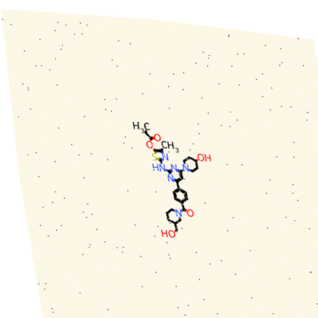 CCC(=O)Oc1sc(Nc2nc(-c3ccc(C(=O)N4CCCC(CO)C4)cc3)cc(N3CCC(O)CC3)n2)nc1C